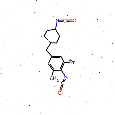 Cc1cc(CC2CCC(N=C=O)CC2)cc(C(C)C)c1N=C=O